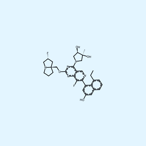 CCc1cccc2cc(O)cc(-c3ncc4c(N5C[C@@H](O)[C@@](C)(O)C5)nc(OC[C@@]56CCCN5C[C@H](F)C6)nc4c3F)c12